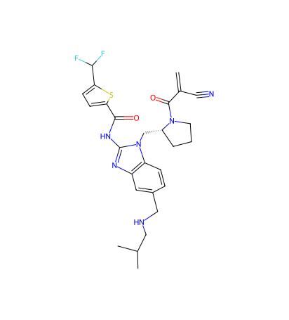 C=C(C#N)C(=O)N1CCC[C@@H]1Cn1c(NC(=O)c2ccc(C(F)F)s2)nc2cc(CNCC(C)C)ccc21